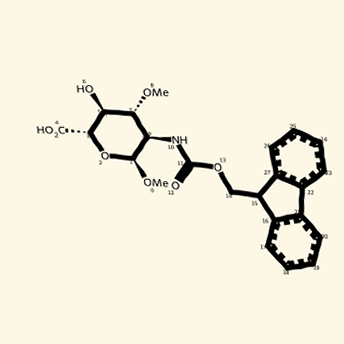 CO[C@H]1O[C@H](C(=O)O)[C@@H](O)[C@H](OC)[C@H]1NC(=O)OCC1c2ccccc2-c2ccccc21